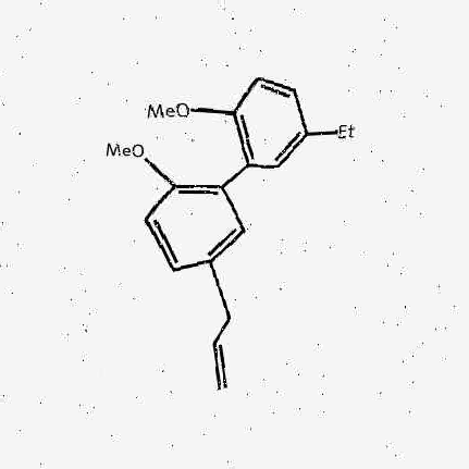 C=CCc1ccc(OC)c(-c2cc(CC)ccc2OC)c1